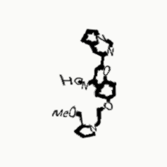 COC[C@@H]1CCCN1CCOc1ccc2oc(-c3cc4cccn4cn3)c/c(=N\O)c2c1